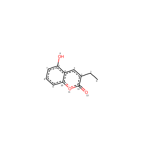 CCc1cc2c(O)cccc2oc1=O